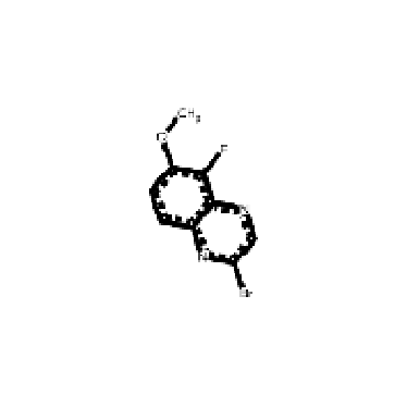 COc1ccc2nc(Br)cnc2c1F